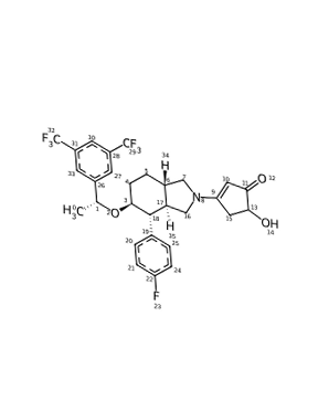 C[C@@H](O[C@H]1CC[C@@H]2CN(C3=CC(=O)C(O)C3)C[C@H]2[C@@H]1c1ccc(F)cc1)c1cc(C(F)(F)F)cc(C(F)(F)F)c1